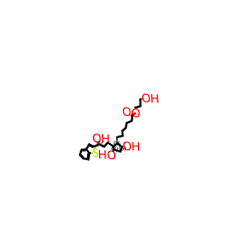 O=C(CCCCCC[C@@H]1C(CC[C@@H](O)c2cc3ccccc3s2)[C@H](O)C[C@@H]1O)OCCCO